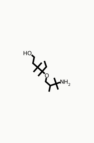 CCC(C)(OCC(C)C(C)(C)N)C(C)(C)CCO